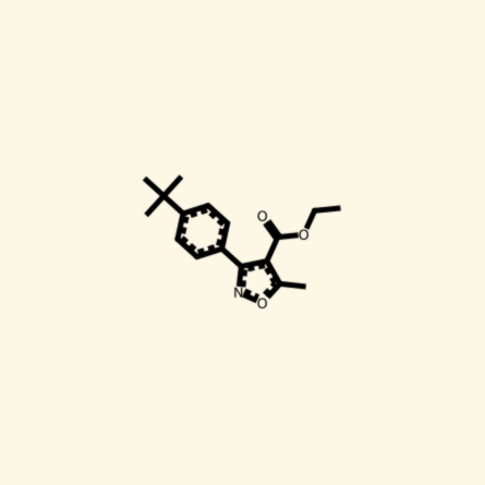 CCOC(=O)c1c(-c2ccc(C(C)(C)C)cc2)noc1C